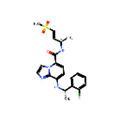 C[C@H](/C=C/S(C)(=O)=O)NC(=O)c1ccc(N[C@@H](C)c2ccccc2Cl)c2nccn12